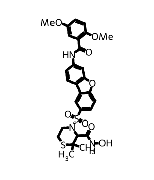 COc1ccc(OC)c(C(=O)Nc2ccc3c(c2)oc2ccc(S(=O)(=O)N4CCSC(C)(C)C4C(=O)NO)cc23)c1